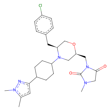 Cc1cc(C2CCC(N3C[C@H](CN4C(=O)CN(C)C4=O)OC[C@@H]3Cc3ccc(Cl)cc3)CC2)nn1C